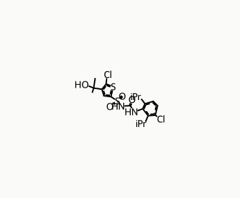 CC(C)c1ccc(Cl)c(C(C)C)c1NC(=O)NS(=O)(=O)c1cc(C(C)(C)O)c(Cl)s1